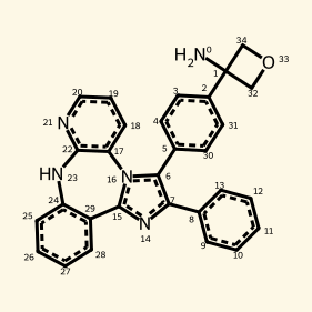 NC1(c2ccc(-c3c(-c4ccccc4)nc4n3-c3cccnc3Nc3ccccc3-4)cc2)COC1